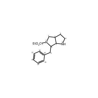 CCOC(=O)N1CC2CCNC2C1Cc1ccccc1